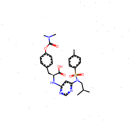 Cc1ccc(S(=O)(=O)N(CC(C)C)c2cc(N[C@@H](Cc3ccc(OC(=O)N(C)C)cc3)C(=O)O)ncn2)cc1